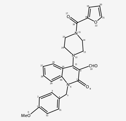 COc1ccc(Cn2c(=O)c(C=O)c(N3CCN(C(=O)c4ccco4)CC3)c3ccccc32)cc1